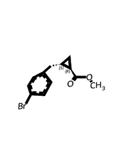 COC(=O)[C@@H]1C[C@H]1Cc1ccc(Br)cc1